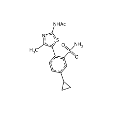 CC(=O)Nc1nc(C)c(-c2ccc(C3CC3)cc2S(N)(=O)=O)s1